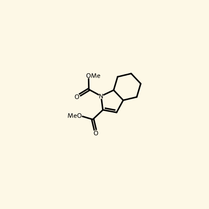 COC(=O)C1=CC2CCCCC2N1C(=O)OC